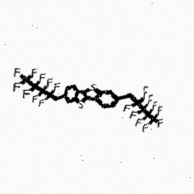 FC(F)(F)C(F)(F)C(F)(F)C(F)(F)Cc1ccc2c(c1)sc1c3ccc(CC(F)(F)C(F)(F)C(F)(F)C(F)(F)F)cc3sc21